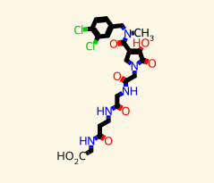 CN(Cc1ccc(Cl)c(Cl)c1)C(=O)C1=C(O)C(=O)N(CC(=O)NCC(=O)NCCC(=O)NCC(=O)O)C1